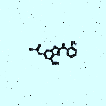 COc1cc(CC(=O)C(C)C)cc2oc(Nc3ccccc3C)nc12